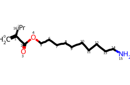 C=C(C(=O)OCCCCCCCCCCN)C(C)C